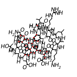 CC(C)C[C@H](NC(=O)[C@H](Cc1ccccc1)NC(=O)[C@H](CCCNC(=N)N)NC(=O)[C@@H](N)C(C)C)C(=O)N[C@@H](C)C(=O)N[C@@H](CCCCN)C(=O)N[C@@H](CCC(=O)O)C(=O)N[C@@H](CC(N)=O)C(=O)N[C@H](C(=O)N[C@H](C(=O)N[C@@H](CCC(N)=O)C(=O)N[C@@H](CC(=O)O)C(=O)N[C@@H](C)C(=O)N[C@@H](CCC(=O)O)C(=O)N[C@@H](CC(=O)O)C(=O)N[C@@H](CCCNC(=N)N)C(=O)N[C@@H](CS)C(=O)O)[C@@H](C)O)C(C)C